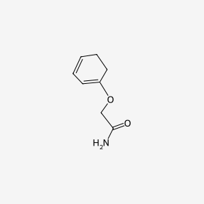 NC(=O)COC1=CC=CCC1